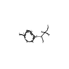 Cc1ccc(C(C)C(C)(C)C)cc1